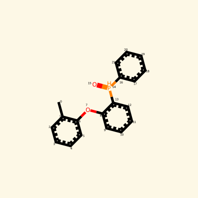 Cc1ccccc1Oc1ccccc1[PH](=O)c1ccccc1